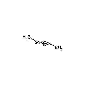 CCCCCCCCCc1ccc(C(=O)Oc2ccc(-c3ccc(SCCCCCCCC)cc3)cc2)cc1